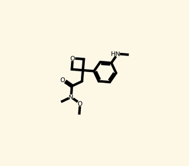 CNc1cccc(C2(CC(=O)N(C)OC)COC2)c1